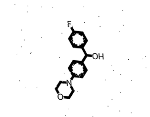 OC(c1ccc(F)cc1)c1ccc(N2CCOCC2)cc1